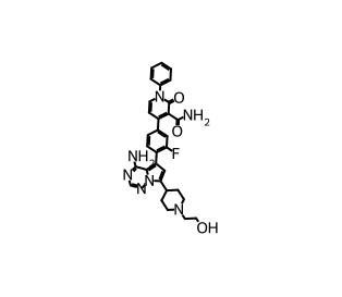 NC(=O)c1c(-c2ccc(-c3cc(C4CCN(CCO)CC4)n4ncnc(N)c34)c(F)c2)ccn(-c2ccccc2)c1=O